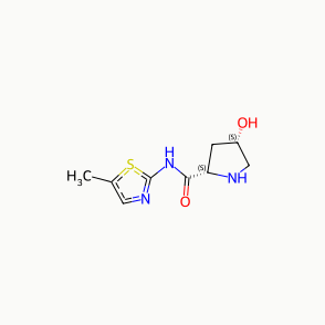 Cc1cnc(NC(=O)[C@@H]2C[C@H](O)CN2)s1